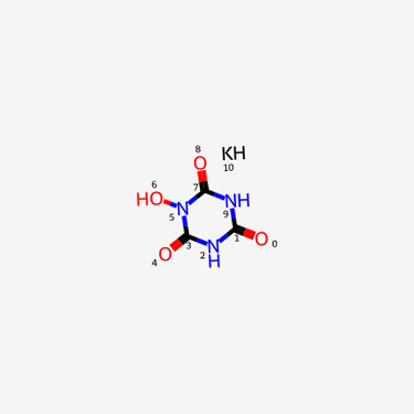 O=c1[nH]c(=O)n(O)c(=O)[nH]1.[KH]